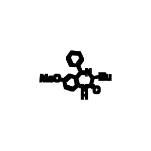 CCC(C)[C@@H]1N=C(c2ccccc2)c2cc(OC)ccc2NC1=O